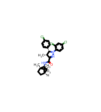 C[C@H]1C(C(=O)N[C@H]2C[C@H]3CC[C@]2(C)C3(C)C)=NN(c2ccc(Cl)cc2Cl)[C@H]1c1ccc(Cl)cc1